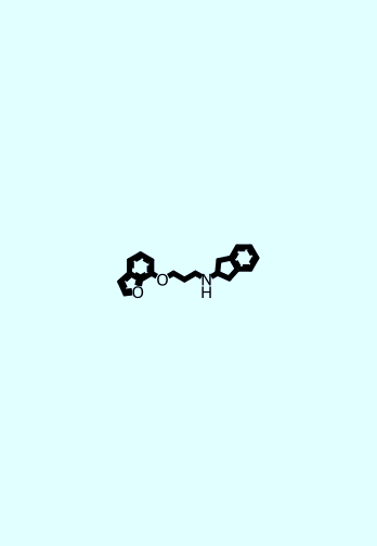 c1ccc2c(c1)CC(NCCCOc1cccc3ccoc13)C2